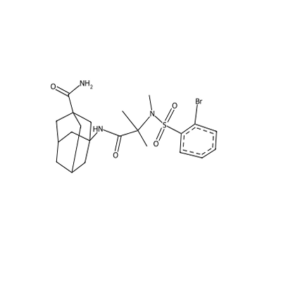 CN(C(C)(C)C(=O)NC12CC3CC(C1)CC(C(N)=O)(C3)C2)S(=O)(=O)c1ccccc1Br